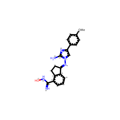 COc1ccc(-c2cn(/N=C3\CCc4c(C(=N)NO)cccc43)c(N)n2)cc1